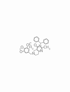 COc1cc(CN2CCc3nc(C)n(C(c4ccccc4)c4ccccc4)c(=O)c3C2)cc2c1OCO2